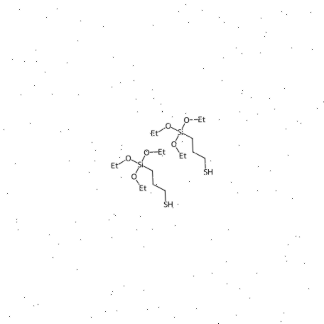 CCO[Si](CCCS)(OCC)OCC.CCO[Si](CCCS)(OCC)OCC